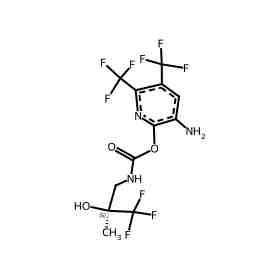 C[C@](O)(CNC(=O)Oc1nc(C(F)(F)F)c(C(F)(F)F)cc1N)C(F)(F)F